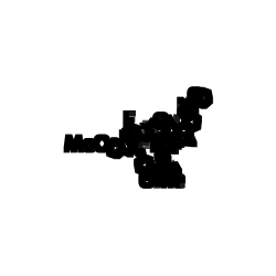 COc1ccc(CN(Cc2ccc(OC)cc2)c2ncc(F)cc2[C@@H](C)N2c3nc(OC[C@@]45CCCN4C[C@H](F)C5)nc4c(F)c(-c5c(C6CC6F)ccc6c5cnn6C5CCCCO5)nc(c34)OC[C@@H]2C)cc1